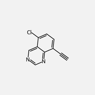 C#Cc1ccc(Cl)c2cncnc12